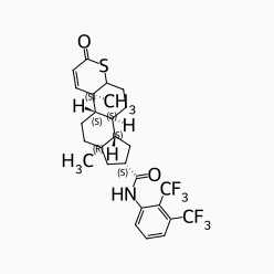 C[C@]12CC[C@H]3[C@@H](CCC4SC(=O)C=C[C@@]43C)[C@@H]1C[C@H](C(=O)Nc1cccc(C(F)(F)F)c1C(F)(F)F)C2